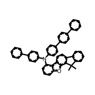 CC1(C)c2ccccc2-c2ccc3c(oc4cccc(N(c5ccc(-c6ccccc6)cc5)c5ccc(-c6ccc(-c7ccccc7)cc6)cc5)c43)c21